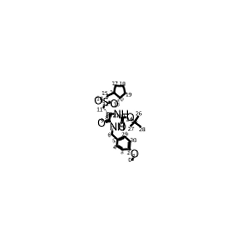 COc1ccc(CNC(=O)[C@H](CS(=O)(=O)CC2CCCC2)NC(=O)OC(C)(C)C)cc1